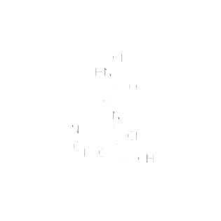 CNC(=O)O/N=C/C(C)(C)SC.ClN1CCCC1